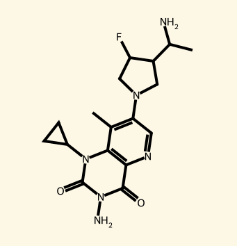 Cc1c(N2CC(F)C(C(C)N)C2)cnc2c(=O)n(N)c(=O)n(C3CC3)c12